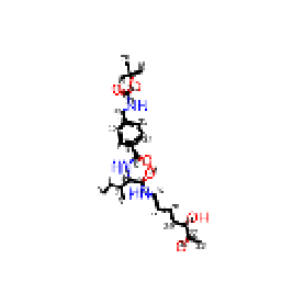 CCC(C)[C@H](NC(=O)c1ccc(CNC(=O)OC(C)(C)C)cc1)C(=O)NCCCCC(O)C(C)=O